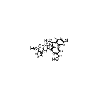 Cc1c(CC(=O)N2CCCC2C(=O)O)c2cc(CO)ccc2n1C(=O)c1ccc(Cl)cc1